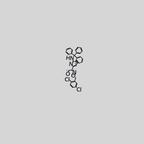 O=[C]/C(=N\OCc1cc(Cl)ccc1Cl)c1csc(NC(c2ccccc2)(c2ccccc2)c2ccccc2)n1